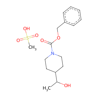 CC(O)C1CCN(C(=O)OCc2ccccc2)CC1.CS(=O)(=O)O